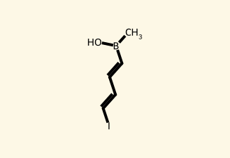 CB(O)/C=C/C=C/I